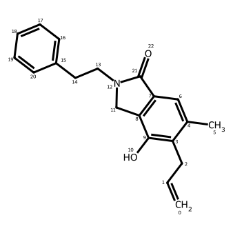 C=CCc1c(C)cc2c(c1O)CN(CCc1ccccc1)C2=O